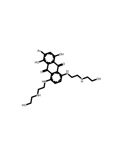 CC(=O)c1cc(O)c2c(c1O)C(=O)c1c(NCCNCCO)ccc(NCCNCCO)c1C2=O